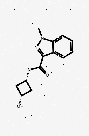 Cn1nc(C(=O)N[C@H]2C[C@@H](O)C2)c2ccccc21